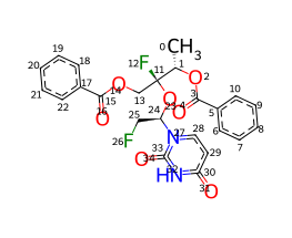 C[C@H](OC(=O)c1ccccc1)[C@@](F)(COC(=O)c1ccccc1)O[C@H](CF)n1ccc(=O)[nH]c1=O